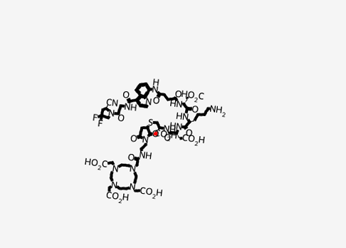 N#C[C@H]1CC(F)(F)CN1C(=O)CNC(=O)c1ccnc2c(NC(=O)CCC(=O)N[C@H](CC(=O)O)C(=O)N[C@H](CCCCN)C(=O)N[C@H](CC(=O)O)C(=O)N[C@H](CSC3CC(=O)N(CCNC(=O)CN4CCN(CC(=O)O)CCN(CC(=O)O)CCN(CC(=O)O)CC4)C3=O)C(=O)O)cccc12